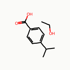 CC(C)c1ccc(C(=O)O)cc1.CCO